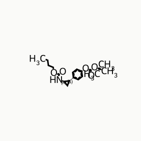 CCCCOC(=O)N[C@@H]1C[C@H]1c1ccc(OC(=O)OC(C)(C)C)cc1